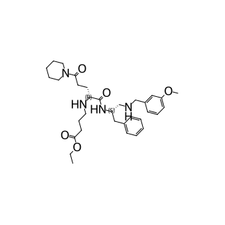 CCOC(=O)CCCN[C@H](CCC(=O)N1CCCCC1)C(=O)N[C@H](CNCc1cccc(OC)c1)Cc1ccccc1